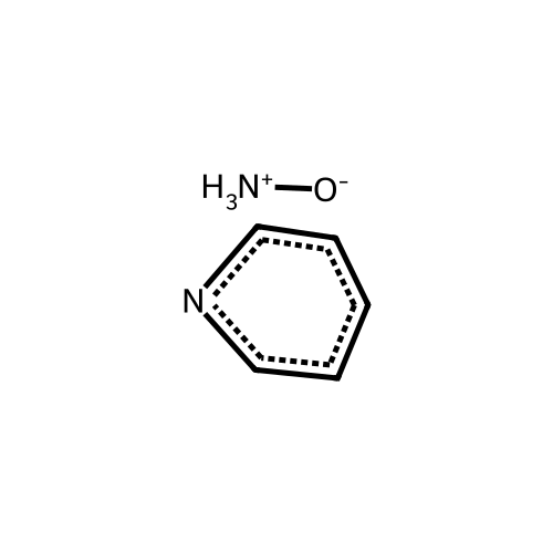 [NH3+][O-].c1ccncc1